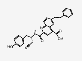 N#CC[C@H](Cc1ccc(O)cc1)NC(=O)c1cc(C(=O)O)c2cc(CCc3ccccc3)ccc2n1